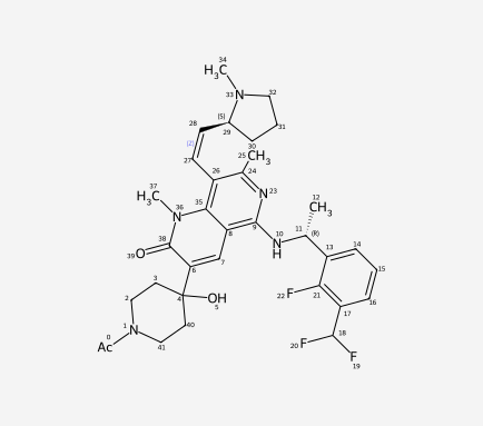 CC(=O)N1CCC(O)(c2cc3c(N[C@H](C)c4cccc(C(F)F)c4F)nc(C)c(/C=C\[C@@H]4CCCN4C)c3n(C)c2=O)CC1